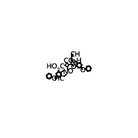 C#CCN(Cc1ccc(Oc2ccccc2)cc1)C(=O)C1C(C(=O)O)C(C(=O)O)C1C(=O)N(CC#C)Cc1ccc(Oc2ccccc2)cc1